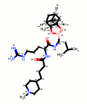 CC(C)C[C@H](NC(=O)[C@H](CCCNC(=N)N)NC(=O)CCCC1CCN(C)CC1)B1O[C@@H]2C[C@@H]3C[C@@H](C3(C)C)[C@]2(C)O1